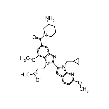 COc1ccc2cc(-c3nc4cc(C(=O)N5CCC[C@@H](N)C5)cc(OC)c4n3CC[S@+](C)[O-])n(CC3CC3)c2n1